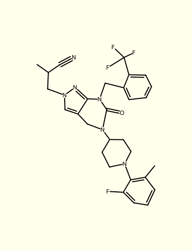 Cc1cccc(F)c1N1CCC(N2Cc3cn(CC(C)C#N)nc3N(Cc3ccccc3C(F)(F)F)C2=O)CC1